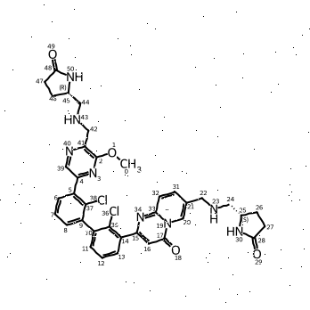 COc1nc(-c2cccc(-c3cccc(-c4cc(=O)n5cc(CNC[C@@H]6CCC(=O)N6)ccc5n4)c3Cl)c2Cl)cnc1CNC[C@H]1CCC(=O)N1